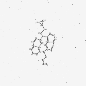 COCOc1ccc2ccccc2c1-c1c(COCC2CO2)ccc2ccccc12